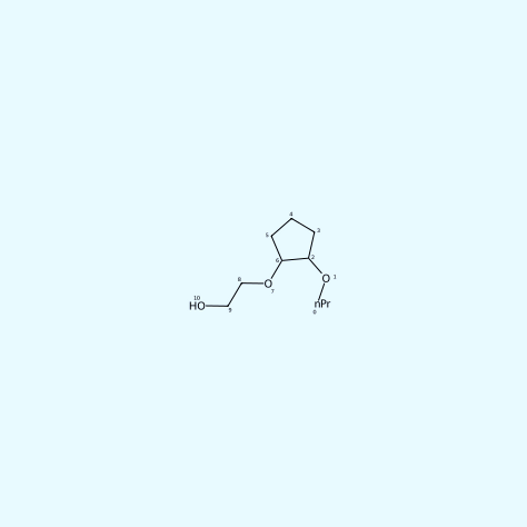 CCCOC1CCCC1OCCO